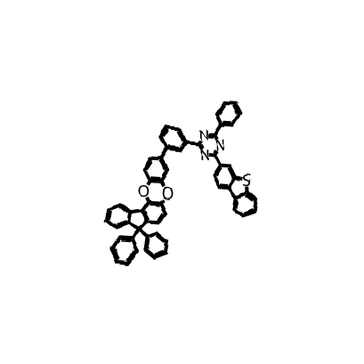 c1ccc(-c2nc(-c3cccc(-c4ccc5c(c4)Oc4ccc6c(c4O5)-c4ccccc4C6(c4ccccc4)c4ccccc4)c3)nc(-c3ccc4c(c3)sc3ccccc34)n2)cc1